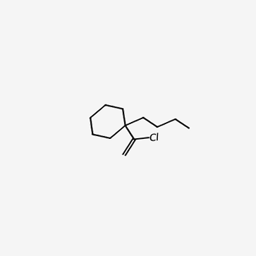 C=C(Cl)C1(CCCC)CCCCC1